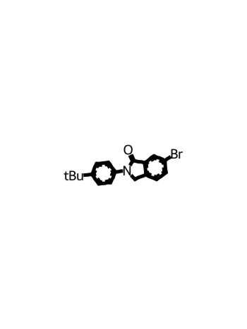 CC(C)(C)c1ccc(N2Cc3ccc(Br)cc3C2=O)cc1